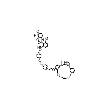 O=C1CCC(N2C(=O)c3cccc(NCCN4CCN(CCCN5CCN(CCOc6ccc7cc6COC/C=C/COCc6cccc(c6)-c6ccnc(n6)N7)CC5)CC4)c3C2=O)C(=O)N1